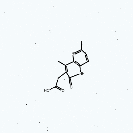 Cc1ccc2[nH]c(=O)c(CC(=O)O)c(C)c2n1